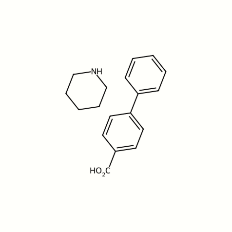 C1CCNCC1.O=C(O)c1ccc(-c2ccccc2)cc1